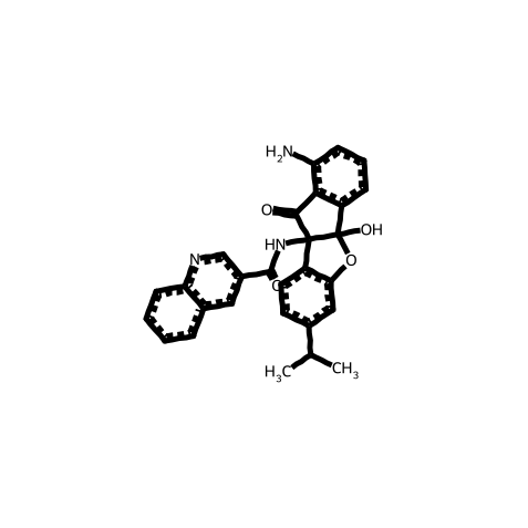 CC(C)c1ccc2c(c1)OC1(O)c3cccc(N)c3C(=O)C21NC(=O)c1cnc2ccccc2c1